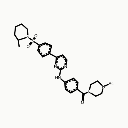 CC(=O)N1CCN(C(=O)c2ccc(Nc3nccc(-c4ccc(S(=O)(=O)N5CCCCC5C)cc4)n3)cc2)CC1